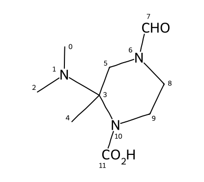 CN(C)C1(C)CN(C=O)CCN1C(=O)O